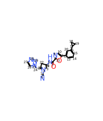 N#CN1C[C@H](NC(=O)c2ncc(-c3cccc(C4CC4)c3)o2)C[C@H]1Cn1ccnn1